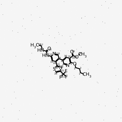 CCCCOc1ncc(-c2cnc(NC(=O)NCC)cc2-c2nc(C(F)(F)F)cs2)cc1C(=O)OC